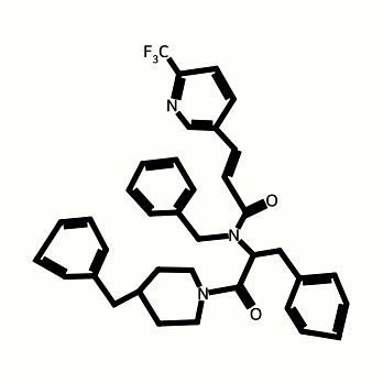 O=C(C(Cc1ccccc1)N(Cc1ccccc1)C(=O)C=Cc1ccc(C(F)(F)F)nc1)N1CCC(Cc2ccccc2)CC1